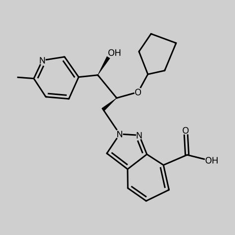 Cc1ccc([C@@H](O)[C@H](Cn2cc3cccc(C(=O)O)c3n2)OC2CCCC2)cn1